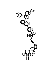 CC(=O)N1CCc2c(nn(-c3cccc4cc(-c5ccc(C(=O)NCCC#Cc6cccc7c6CN(C6CCC(=O)NC6=O)C7=O)nc5)ncc34)c2C2CCOCC2)C1